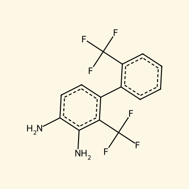 Nc1ccc(-c2ccccc2C(F)(F)F)c(C(F)(F)F)c1N